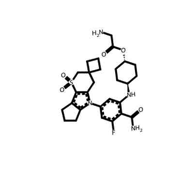 NCC(=O)O[C@H]1CC[C@H](Nc2cc(-n3c4c(c5c3CC3(CCC3)CS5(=O)=O)CCC4)cc(F)c2C(N)=O)CC1